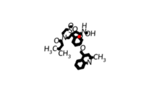 Cc1cc(COc2ccc(C3(CC(=O)NO)CN(C(=O)CC(C)C)CCS3(=O)=O)cc2)c2ccccc2n1